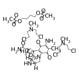 CN(CCCl)CCCl.CN(CCCl)CCCl.CO[C@@]12[C@H](COC(N)=O)C3=C(C(=O)C(C)=C(N)C3=O)N1C[C@@H]1N[C@@H]12.CS(=O)(=O)OCCCCOS(C)(=O)=O